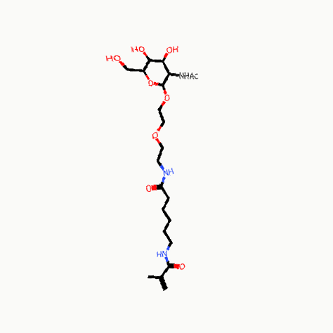 C=C(C)C(=O)NCCCCCC(=O)NCCOCCOC1OC(CO)C(O)C(O)C1NC(C)=O